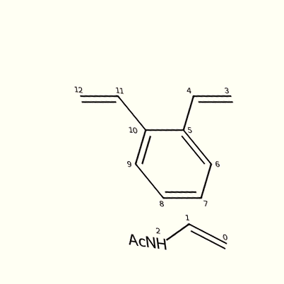 C=CNC(C)=O.C=Cc1ccccc1C=C